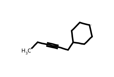 CCC#CCC1CC[CH]CC1